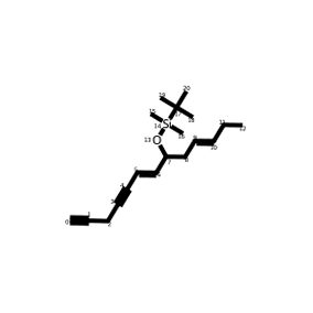 C#CCC#CC=CC(CC=CCC)O[Si](C)(C)C(C)(C)C